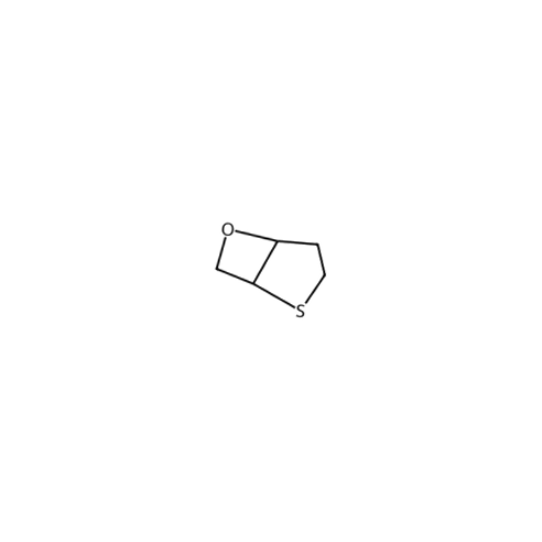 C1CC2OCC2S1